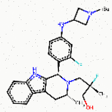 CCCCN1CC(Nc2ccc([C@@H]3c4[nH]c5ccccc5c4C[C@@H](C)N3C[C@](C)(F)CO)c(F)c2)C1